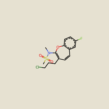 CN(C1=C(CCCCl)C=Cc2cc(F)ccc2O1)S(C)(=O)=O